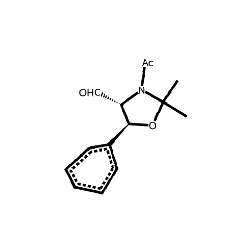 CC(=O)N1[C@@H](C=O)[C@H](c2ccccc2)OC1(C)C